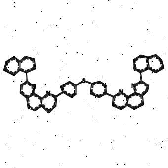 c1ccc2c(-c3ccc4ccc5ccc(-c6ccc(Sc7ccc(-c8ccc9ccc%10ccc(-c%11cccc%12ccccc%11%12)nc%10c9n8)cc7)cc6)nc5c4n3)cccc2c1